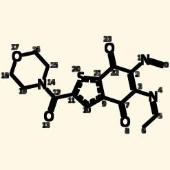 C=NC1=C(/N=C\C)C(=O)c2cc(C(=O)N3CCOCC3)sc2C1=O